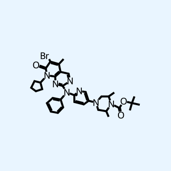 Cc1c(Br)c(=O)n(C2CCCC2)c2nc(N(c3ccccc3)c3ccc(N4CC(C)N(C(=O)OC(C)(C)C)C(C)C4)cn3)ncc12